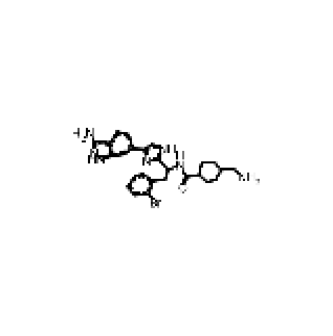 NCC1CCC(C(=O)NC(Cc2ccccc2Br)c2nc(-c3ccc4c(N)n[nH]c4c3)c[nH]2)CC1